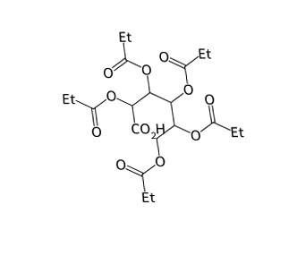 CCC(=O)OCC(OC(=O)CC)C(OC(=O)CC)C(OC(=O)CC)C(OC(=O)CC)C(=O)O